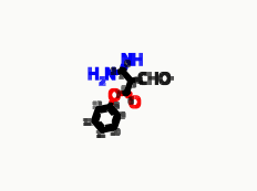 N=C(N)C([C]=O)C(=O)Oc1ccccc1